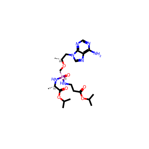 CC(C)OC(=O)CCN[P@@](=O)(CO[C@H](C)Cn1cnc2c(N)ncnc21)N[C@@H](C)C(=O)OC(C)C